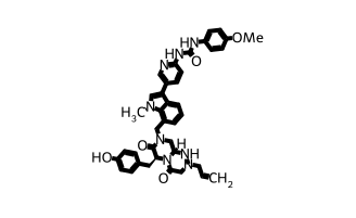 C=CCN1CC(=O)N2[C@H](CN(Cc3cccc4c(-c5ccc(NC(=O)Nc6ccc(OC)cc6)nc5)cn(C)c34)C(=O)[C@@H]2Cc2ccc(O)cc2)N1